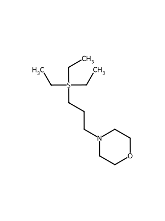 CCS(CC)(CC)CCCN1CCOCC1